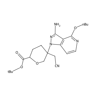 CCCCOc1nccc2c1c(N)nn2C1(CC#N)CCC(C(=O)OC(C)(C)C)OC1